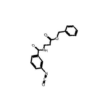 O=C=Nc1cccc(C(=O)NCCC(=O)OCc2ccccc2)c1